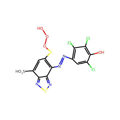 O=S(=O)(O)c1cc(SOOO)c(/N=N/c2cc(Cl)c(O)c(Cl)c2Cl)c2nsnc12